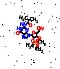 COC1C(CO)OC(n2cnc3c(=O)[nH]c(NC(=O)C(C)C)nc32)C1OP(C)(=O)OC